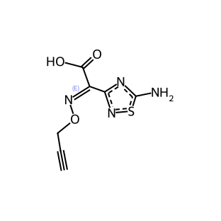 C#CCO/N=C(/C(=O)O)c1nsc(N)n1